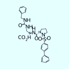 O=C(NCc1ccccc1)NC[C@H](NC(=O)[C@@H]1CCCN1S(=O)(=O)c1ccc(-c2ccccc2)cc1)C(=O)O